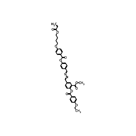 C=CC(=O)OCCCCOc1ccc(C(=O)Oc2ccc(/C=N/N=C/c3ccc(OC(=O)c4ccc(OCC)cc4)c(C(=O)OC)c3)cc2)cc1